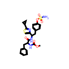 COC(=O)NC(Cc1ccccc1)C(=O)NC(Cc1ccc(OS(N)(=O)=O)cc1)c1csc(C2CC2)n1